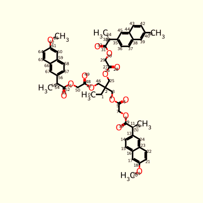 CCC(COC(=O)COC(=O)[C@@H](C)c1ccc2cc(OC)ccc2c1)(COC(=O)COC(=O)[C@H](C)c1ccc2cc(C)ccc2c1)COC(=O)COC(=O)[C@H](C)c1ccc2cc(OC)ccc2c1